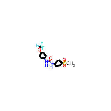 CS(=O)(=O)c1ccc(NC(=O)Nc2ccc(OC(F)(F)F)cc2)cc1